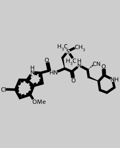 COc1cc(Cl)cc2[nH]c(C(=O)N[C@@H](CS(C)(C)C)C(=O)N[C@H](C#N)C[C@@H]3CCCNC3=O)cc12